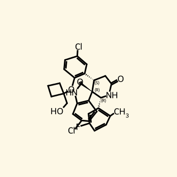 Cc1ccc(F)cc1[C@H]1NC(=O)C[C@@H](c2cc(Cl)ccc2OC2(CO)CCC2)[C@]12C(=O)Nc1cc(Cl)ccc12